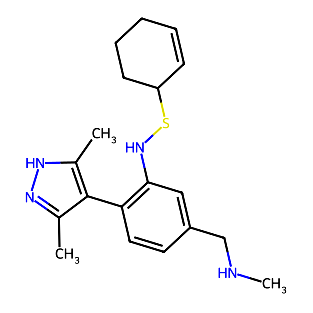 CNCc1ccc(-c2c(C)n[nH]c2C)c(NSC2C=CCCC2)c1